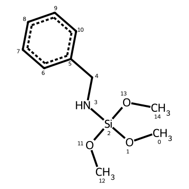 CO[Si](NCc1ccccc1)(OC)OC